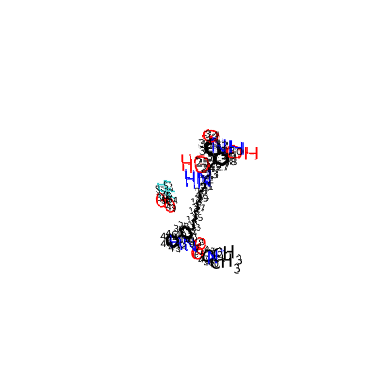 C[N+]1(C)CCC(OC(=O)Nc2cc(CCCCCCCCCNC[C@H](O)c3ccc(O)c4[nH]c(=O)ccc34)ccc2-c2ccccc2)CC1.O=C([O-])C(F)(F)F